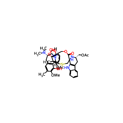 COc1c(C)cc2c(c1O)[C@@H]1[C@@H]3SC[C@]4(N[C@H](COC(C)=O)Cc5c4[nH]c4ccccc54)C(=O)OC[C@@H](c4c5c(c(C)c(OC(C)=O)c43)OCO5)N1[C@@H](O)[C@@H](N(C)C)C2